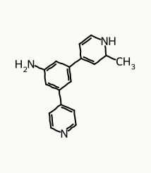 CC1C=C(c2cc(N)cc(-c3ccncc3)c2)C=CN1